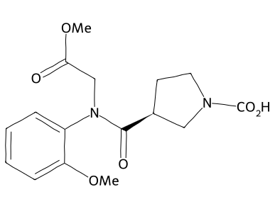 COC(=O)CN(C(=O)[C@H]1CCN(C(=O)O)C1)c1ccccc1OC